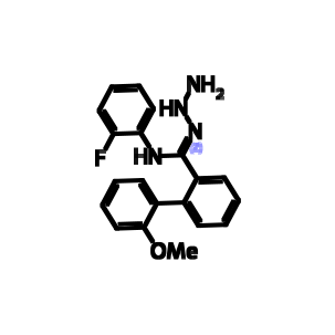 COc1ccccc1-c1ccccc1/C(=N/NN)Nc1ccccc1F